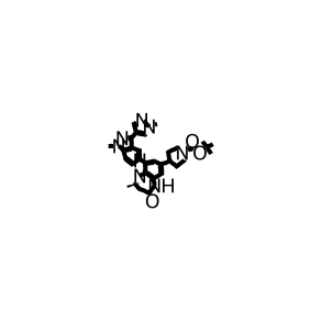 C[C@@H]1CC(=O)Nc2cc(C3CCN(C(=O)OC(C)(C)C)CC3)cc(-c3ccc4c(c3)c(-c3cnn(C)c3)nn4C)c2N1